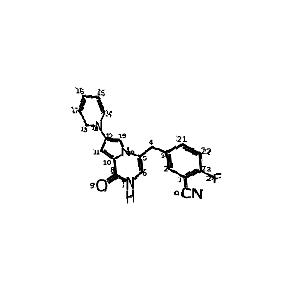 N#Cc1cc(Cc2c[nH]c(=O)c3cc(N4C=CC=CC4)cn23)ccc1F